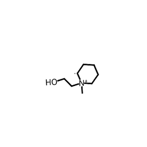 C[N+]1(CCO)[CH]CCCC1